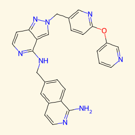 Nc1nccc2cc(CNc3nccc4nn(Cc5ccc(Oc6cccnc6)nc5)cc34)ccc12